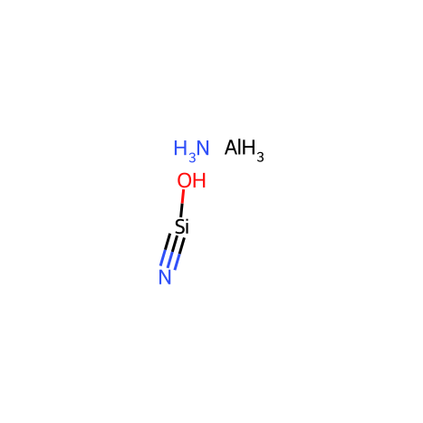 N.N#[Si]O.[AlH3]